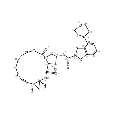 O=C1N[C@@H]2C[C@H]2/C=C\CCCCCCC(=O)N2C[C@H](OC(=O)N3Cc4cccc(N5CCOCC5)c4C3)C[C@@H]12